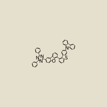 c1ccc(-c2nc(-c3ccccc3)nc(-c3ccc4oc5c(-c6cccc7sc8cc(-n9c%10ccccc%10c%10ccccc%109)ccc8c67)cccc5c4c3)n2)cc1